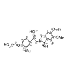 CCOc1cc2c(c(F)c1OC)C(=N)N(CC(=O)c1ccc(OCC(=O)O)c(C(C)(C)C)c1)C2.Cl